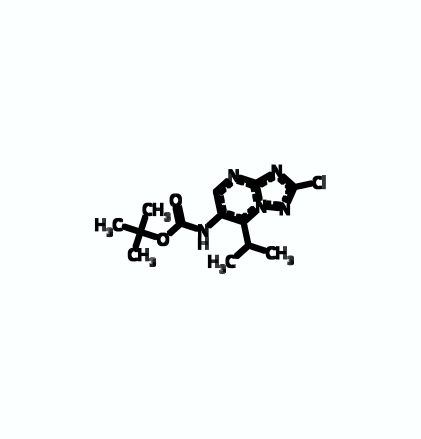 CC(C)c1c(NC(=O)OC(C)(C)C)cnc2nc(Cl)nn12